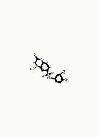 Cc1ccc(NS(=O)(=O)c2ccc3c(c2)N(C)CC(=O)O3)cc1Cl